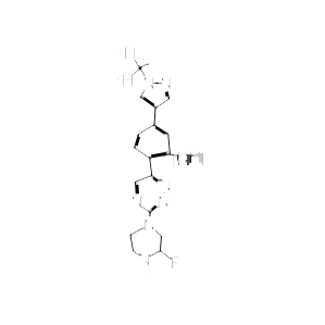 Cl.Cl.[2H]C([2H])([2H])n1cc(-c2ccc(-c3cnc(N4CCNC(CC)C4)nn3)c(O)c2)cn1